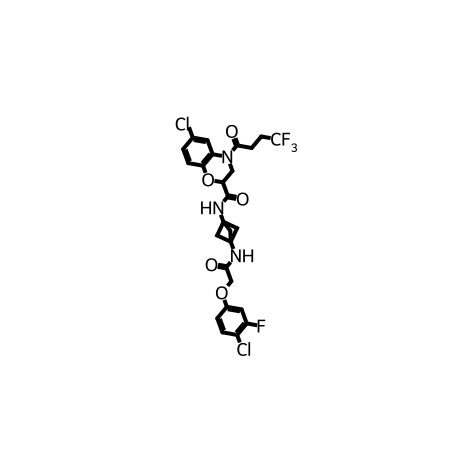 O=C(COc1ccc(Cl)c(F)c1)NC12CC(NC(=O)C3CN(C(=O)CCC(F)(F)F)c4cc(Cl)ccc4O3)(C1)C2